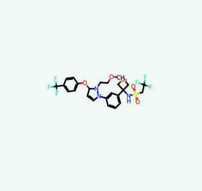 COCCN1C(Oc2ccc(C(F)(F)F)cc2)C=CN1c1cccc(C2(NS(=O)(=O)CC(F)(F)F)COC2)c1